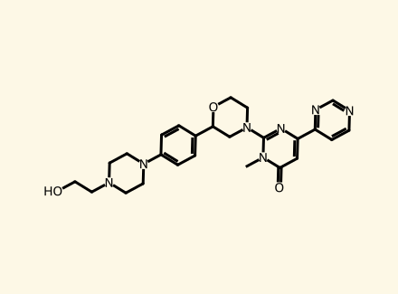 Cn1c(N2CCOC(c3ccc(N4CCN(CCO)CC4)cc3)C2)nc(-c2ccncn2)cc1=O